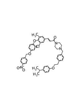 Cc1cc(C=CC(=O)N2CCN(Cc3ccc(CCOc4ccc(C(C)C)cc4)cc3)CC2)cc(Cl)c1Oc1ccc(OCc2ccc([N+](=O)[O-])cc2)cn1